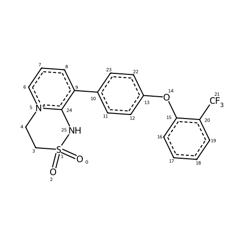 O=S1(=O)CC[n+]2cccc(-c3ccc(Oc4ccccc4C(F)(F)F)cc3)c2N1